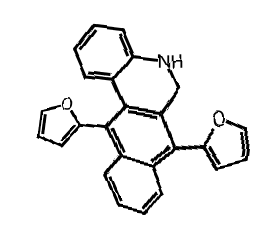 c1coc(-c2c3c(c(-c4ccco4)c4ccccc24)-c2ccccc2NC3)c1